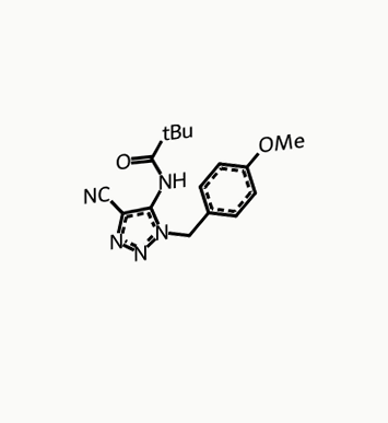 COc1ccc(Cn2nnc(C#N)c2NC(=O)C(C)(C)C)cc1